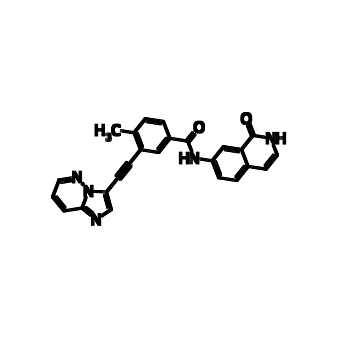 Cc1ccc(C(=O)Nc2ccc3cc[nH]c(=O)c3c2)cc1C#Cc1cnc2cccnn12